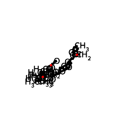 C=C(Br)C[C@@H](CCC12CC3OC4C(OC5CCC(CC(=O)C[C@@H]6[C@@H](OC)[C@@H](C[C@@H](CO[Si](C)(C)C(C)(C)C)O[Si](C)(C)C(C)(C)C)O[C@H]6C[C@H]6O[C@@H](CCC=O)C[C@@H](C)C6=C)OC5C4O1)C3O2)OS(=O)(=O)c1ccc(C)cc1